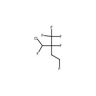 FCCC(F)(C(F)Cl)C(F)(F)F